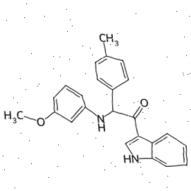 COc1cccc(NC(C(=O)c2c[nH]c3ccccc23)c2ccc(C)cc2)c1